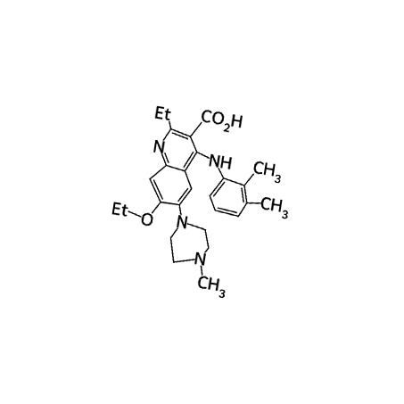 CCOc1cc2nc(CC)c(C(=O)O)c(Nc3cccc(C)c3C)c2cc1N1CCN(C)CC1